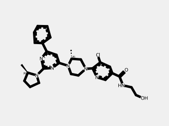 C[C@@H]1CN(c2ncc(C(=O)NCCO)cc2Cl)CCN1c1cc(-c2ccccc2)nc(N2CCC[C@H]2C)n1